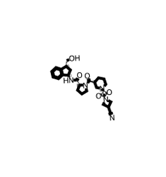 N#CC1CN(S(=O)(=O)N2CCC[C@H](C(=O)N3CCC[C@@H]3C(=O)N[C@@H]3C[C@@H](CO)c4ccccc43)C2)C1